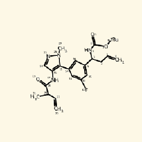 C=CCC(NC(=O)OC(C)(C)C)c1cc(F)cc(-c2c(NC(=O)C(C)C=C)cnn2C)c1